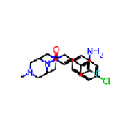 CN1CC2CN(Cc3ccc(F)cc3)CC(C1)N2C(=O)C=Cc1ccc(Cl)cc1N